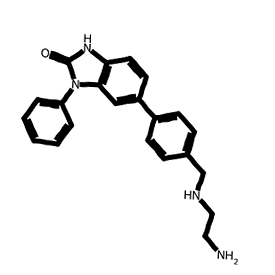 NCCNCc1ccc(-c2ccc3[nH]c(=O)n(-c4ccccc4)c3c2)cc1